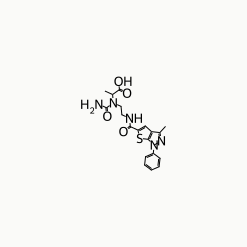 Cc1nn(-c2ccccc2)c2sc(C(=O)NCCN(C(N)=O)C(C)C(=O)O)cc12